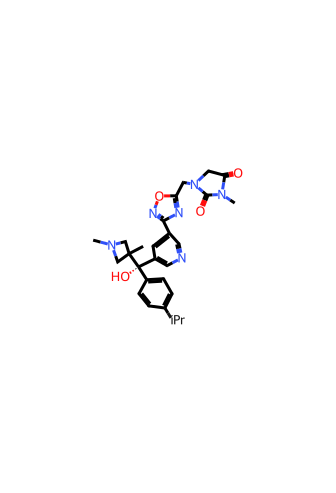 CC(C)c1ccc([C@](O)(c2cncc(-c3noc(CN4CC(=O)N(C)C4=O)n3)c2)C2(C)CN(C)C2)cc1